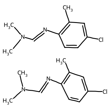 Cc1cc(Cl)ccc1N=CN(C)C.Cc1cc(Cl)ccc1N=CN(C)C